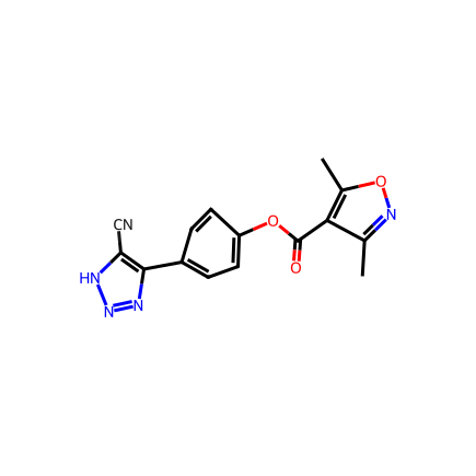 Cc1noc(C)c1C(=O)Oc1ccc(-c2nn[nH]c2C#N)cc1